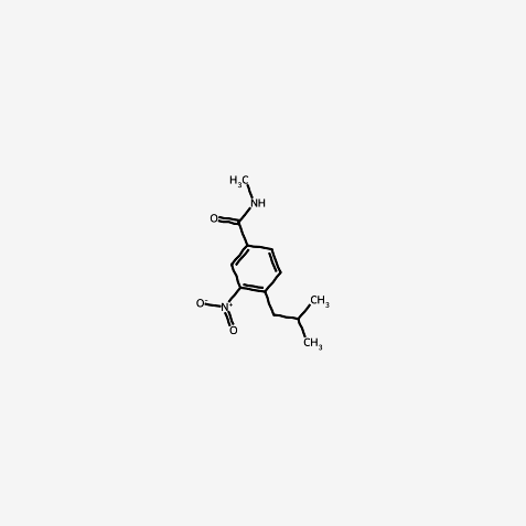 CNC(=O)c1ccc(CC(C)C)c([N+](=O)[O-])c1